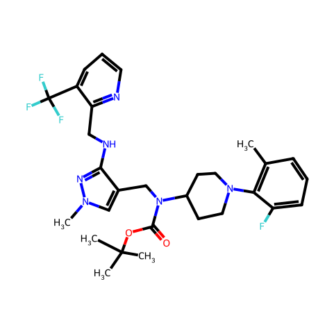 Cc1cccc(F)c1N1CCC(N(Cc2cn(C)nc2NCc2ncccc2C(F)(F)F)C(=O)OC(C)(C)C)CC1